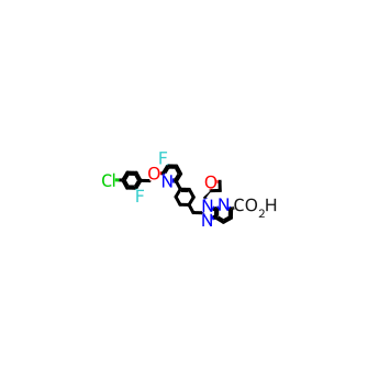 O=C(O)c1ccc2nc(CC3CC=C(c4ccc(F)c(OCc5ccc(Cl)cc5F)n4)CC3)n(C[C@@H]3CCO3)c2n1